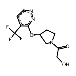 O=C(CO)N1CC[C@H](Oc2nnccc2C(F)(F)F)C1